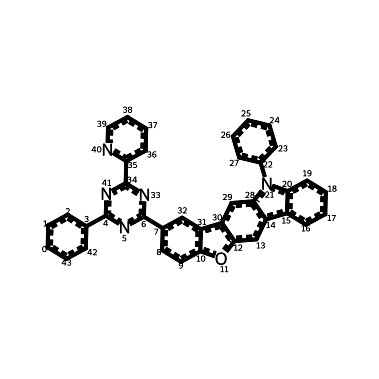 c1ccc(-c2nc(-c3ccc4oc5cc6c7ccccc7n(-c7ccccc7)c6cc5c4c3)nc(-c3ccccn3)n2)cc1